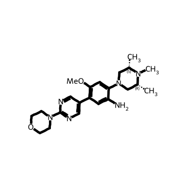 COc1cc(N2C[C@@H](C)N(C)[C@@H](C)C2)c(N)cc1-c1cnc(N2CCOCC2)nc1